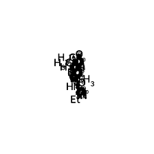 CCc1cc(NC(=O)[C@H]2CC[C@H]3[C@@H]4CC(C)=C5N(C)C(=O)CC[C@]5(C)[C@H]4CC[C@]23C)ccn1